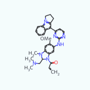 C=CC(=O)N1c2cc(Nc3nccc(-c4c5n(c6ccccc46)CCC5)n3)c(OC)cc2N(C)C1CN(C)C